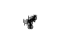 O=C(Nc1ccc2c(c1)OCCO2)c1n[nH]c2ccc(-c3cncc(NC(=O)C4CC4)c3)cc12